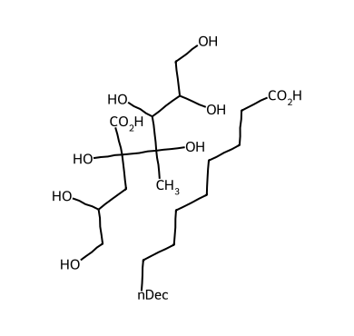 CC(O)(C(O)C(O)CO)C(O)(CC(O)CO)C(=O)O.CCCCCCCCCCCCCCCCCC(=O)O